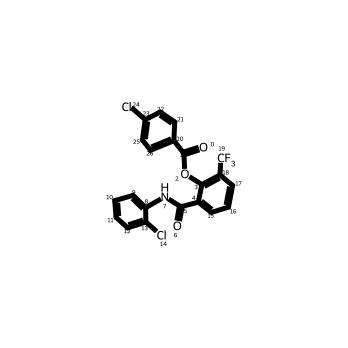 O=C(Oc1c(C(=O)Nc2ccccc2Cl)cccc1C(F)(F)F)c1ccc(Cl)cc1